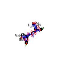 CNC(C)C(=O)NC(C(=O)N1CCC2C1C(C(=O)Nc1ccc(F)cc1)CN2C(=O)CNC(=O)C(=O)NCC(=O)N1CC(C(=O)Nc2ccc(F)cc2)C2C1CCN2C(=O)C(NC(=O)C(C)NC)C(C)(C)C)C(C)(C)C